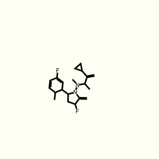 C=C(C1CC1)C(C)N(C)N1C(=C)C(F)CC1C1C=C(F)C=CC1C